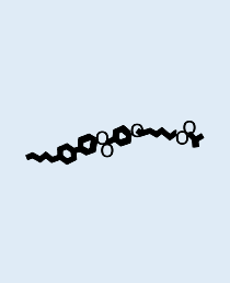 C=C(C)C(=O)OCCCCCCOc1ccc(C(=O)Oc2ccc(C3CCC(CCCCC)CC3)cc2)cc1